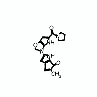 CC1=Cc2cc(N3COc4cc(C(=O)N5CCCC5)[nH]c43)[nH]c2C1=O